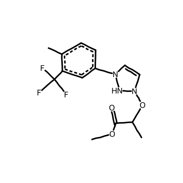 COC(=O)C(C)ON1C=CN(c2ccc(C)c(C(F)(F)F)c2)N1